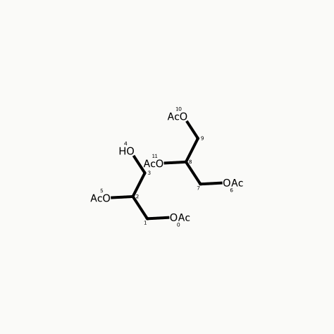 CC(=O)OCC(CO)OC(C)=O.CC(=O)OCC(COC(C)=O)OC(C)=O